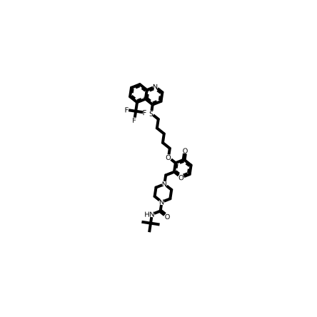 CC(C)(C)NC(=O)N1CCN(Cc2occc(=O)c2OCCCCCSc2ccnc3cccc(C(F)(F)F)c23)CC1